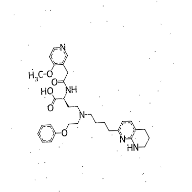 COc1ccncc1CC(=O)N[C@@H](CCN(CCCCc1ccc2c(n1)NCCC2)CCOc1ccccc1)C(=O)O